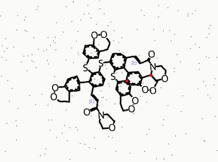 O=C(/C=C/c1ccc(Sc2ccc(/C=C/C(=O)N3CCOCC3)c(-c3ccc4c(c3)CCOO4)c2Sc2ccc3c(c2)CCOO3)c(Sc2ccc3c(c2)CCOO3)c1-c1ccc2c(c1)CCOO2)N1CCOCC1